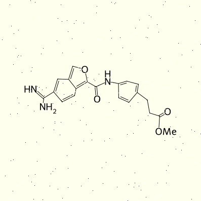 COC(=O)CCc1ccc(NC(=O)c2occ3cc(C(=N)N)ccc23)cc1